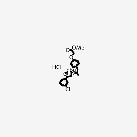 CCCCOC(CNC(C)Cc1ccc(OCC(=O)OC)cc1)c1cccc(Cl)c1.Cl